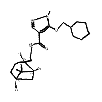 Cn1ncc(C(=O)NC[C@H]2CC[C@H]3C[C@@H]2C3(C)C)c1OCC1CCCCC1